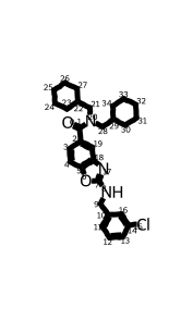 O=C(c1ccc2oc(NCc3cccc(Cl)c3)nc2c1)N(CC1CCCCC1)CC1CCCCC1